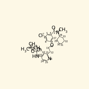 CN(C(=O)c1cc(Cl)cc(OCCc2cc(NC(=O)OC(C)(C)C)ccn2)c1)C1CCCCC1